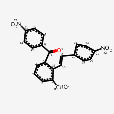 O=[C]c1cccc(C(=O)c2ccc([N+](=O)[O-])cc2)c1/C=C/c1ccc([N+](=O)[O-])cc1